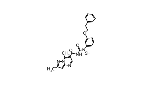 Cc1cc2ncc(C(=O)NC(=O)N(S)c3cccc(OCCc4ccccc4)c3)c(C)n2n1